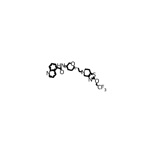 O=C(N[C@@H]1CC[C@@H](CCN2CCc3sc(OCC(F)(F)F)nc3C2)OC1)c1cccc2ncccc12